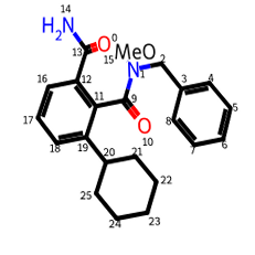 CON(Cc1ccccc1)C(=O)c1c(C(N)=O)cccc1C1CCCCC1